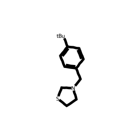 CC(C)(C)c1ccc(CN2CCSC2)cc1